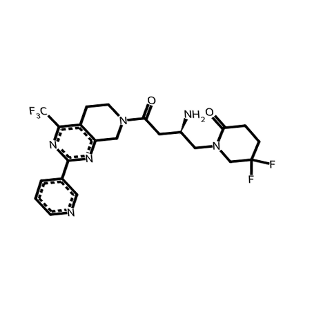 N[C@H](CC(=O)N1CCc2c(nc(-c3cccnc3)nc2C(F)(F)F)C1)CN1CC(F)(F)CCC1=O